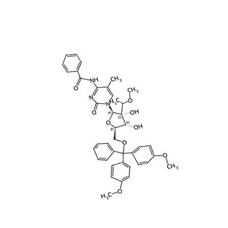 COc1ccc(C(OC[C@H]2O[C@@H](n3cc(C)c(NC(=O)c4ccccc4)nc3=O)[C@@](O)(C(C)OC)[C@@H]2O)(c2ccccc2)c2ccc(OC)cc2)cc1